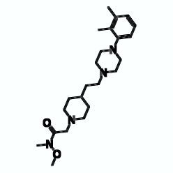 CON(C)C(=O)CN1CCC(CCN2CCN(c3cccc(C)c3C)CC2)CC1